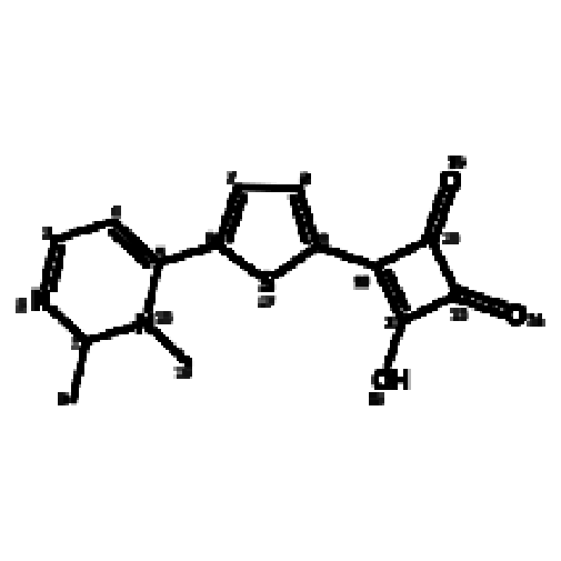 CC1N=CC=C(c2ccc(-c3c(O)c(=O)c3=O)s2)N1C